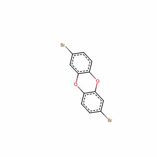 Brc1ccc2c(c1)Oc1ccc(Br)cc1O2